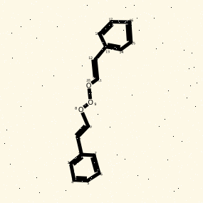 C(=Cc1ccccc1)OOOC=Cc1ccccc1